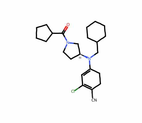 N#CC1=C(Cl)C=C(N(CC2CCCCC2)[C@H]2CCN(C(=O)C3CCCC3)C2)CC1